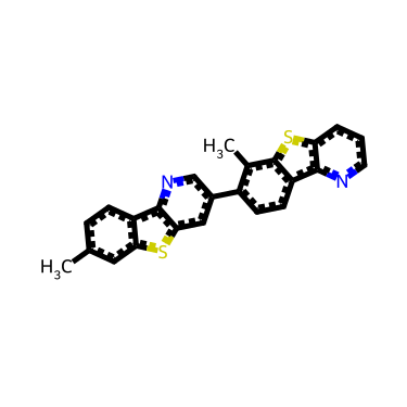 Cc1ccc2c(c1)sc1cc(-c3ccc4c(sc5cccnc54)c3C)cnc12